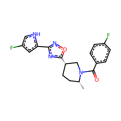 C[C@@H]1CC[C@H](c2nc(-c3cc(F)c[nH]3)no2)CN1C(=O)c1ccc(F)cc1